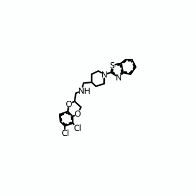 Clc1ccc2c(c1Cl)OCC(CNCC1CCN(c3nc4ccccc4s3)CC1)O2